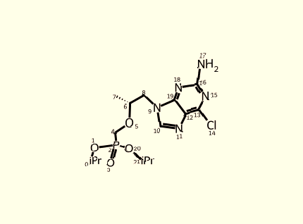 CC(C)OP(=O)(CO[C@H](C)Cn1cnc2c(Cl)nc(N)nc21)OC(C)C